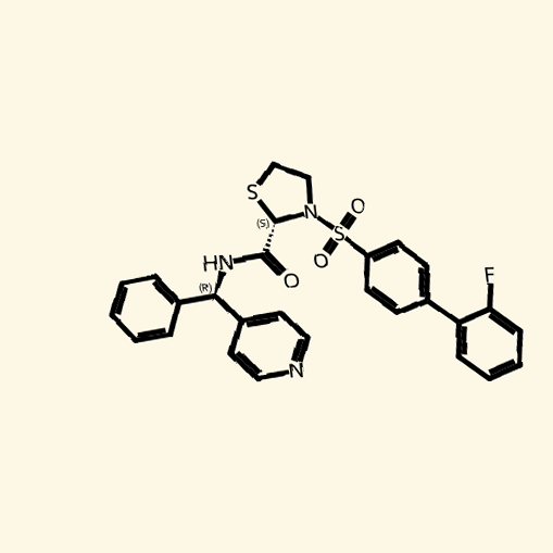 O=C(N[C@H](c1ccccc1)c1ccncc1)[C@@H]1SCCN1S(=O)(=O)c1ccc(-c2ccccc2F)cc1